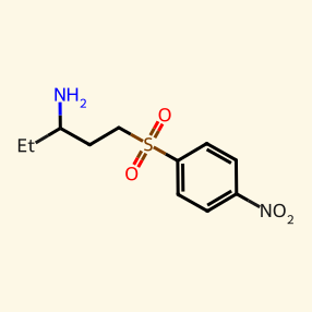 CCC(N)CCS(=O)(=O)c1ccc([N+](=O)[O-])cc1